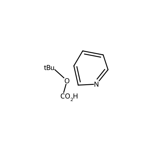 CC(C)(C)OC(=O)O.c1ccncc1